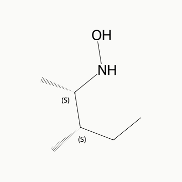 CC[C@H](C)[C@H](C)NO